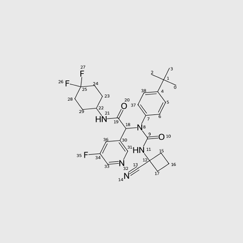 CC(C)(C)c1ccc(N(C(=O)NC2(C#N)CCC2)C(C(=O)NC2CCC(F)(F)CC2)c2cncc(F)c2)cc1